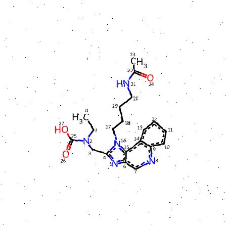 CCN(Cc1nc2cnc3ccccc3c2n1CCCCNC(C)=O)C(=O)O